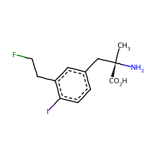 C[C@](N)(Cc1ccc(I)c(CCF)c1)C(=O)O